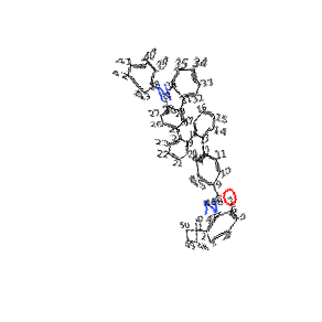 CC1(c2cccc3oc(-c4ccc(-c5ccccc5-c5ccccc5-c5ccc6c(c5)c5ccccc5n6-c5ccccc5)cc4)nc23)CCC1